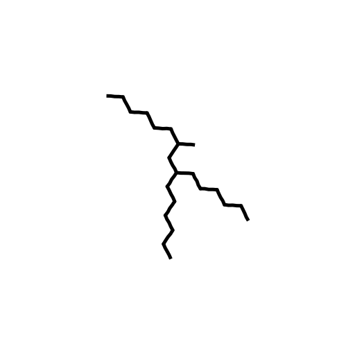 CCCCCCC(C)CC(CCCCCC)CCCCCC